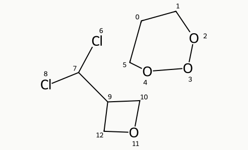 C1COOOC1.ClC(Cl)C1COC1